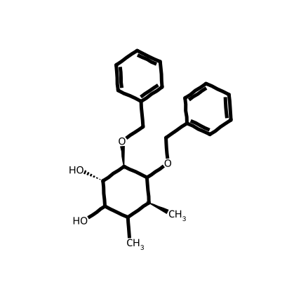 CC1C(O)[C@H](O)[C@@H](OCc2ccccc2)C(OCc2ccccc2)[C@H]1C